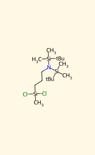 CC(C)(C)[Si](C)(C)N(CCC[Si](C)(Cl)Cl)[Si](C)(C)C(C)(C)C